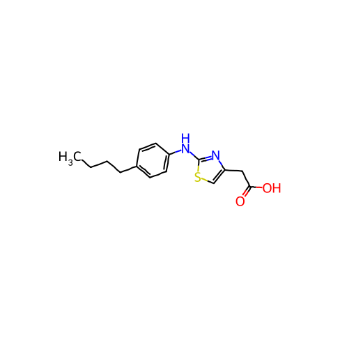 CCCCc1ccc(Nc2nc(CC(=O)O)cs2)cc1